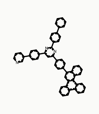 c1ccc(-c2ccc(-c3nc(-c4ccc(-c5cccnc5)cc4)cc(-c4ccc(-c5cc6c7ccccc7c7ccccc7c6c6ccccc56)cc4)n3)cc2)cc1